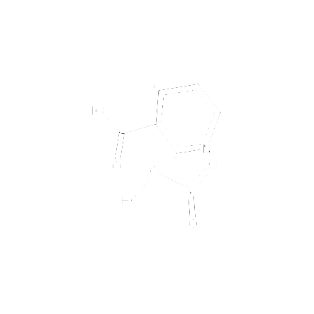 O=C(O)c1cccnc1.[O]=[V](=[O])[O]O